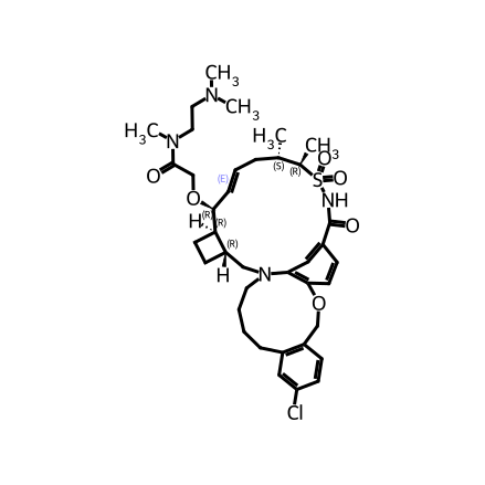 C[C@@H]1[C@@H](C)C/C=C/[C@H](OCC(=O)N(C)CCN(C)C)[C@@H]2CC[C@H]2CN2CCCCc3cc(Cl)ccc3COc3ccc(cc32)C(=O)NS1(=O)=O